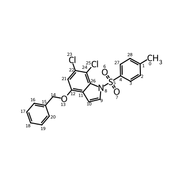 Cc1ccc(S(=O)(=O)n2ccc3c(OCc4ccccc4)cc(Cl)c(Cl)c32)cc1